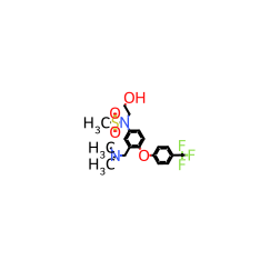 CN(C)Cc1cc(N(CCO)S(C)(=O)=O)ccc1Oc1ccc(C(F)(F)F)cc1